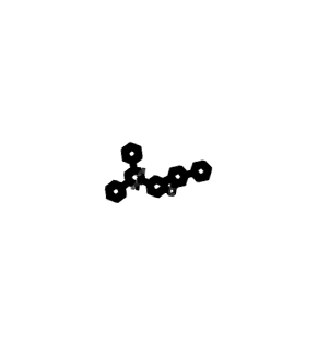 c1ccc(-c2ccc3c(c2)oc2ccc(-c4nc(-c5ccccc5)cc(-c5ccccc5)n4)cc23)cc1